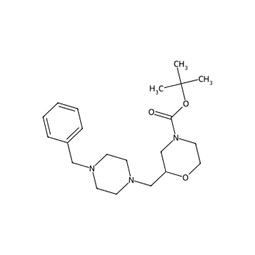 CC(C)(C)OC(=O)N1CCOC(CN2CCN(Cc3ccccc3)CC2)C1